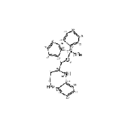 CC(C)(C)[Si](OCC1CCNc2ccccc2N1)(c1ccccc1)c1ccccc1